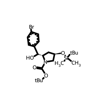 CC(C)(C)OC(=O)N1C[C@H](O[Si](C)(C)C(C)(C)C)C[C@H]1C(O)c1ccc(Br)cc1